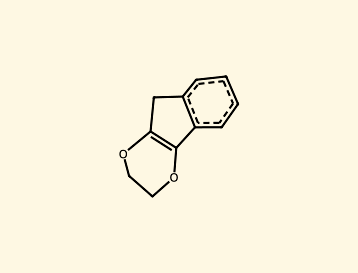 c1ccc2c(c1)CC1=C2OCCO1